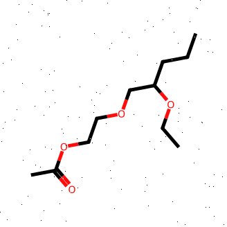 CCCC(COCCOC(C)=O)OCC